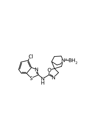 B[N+]12CCC(CC1)C1(CN=C(Nc3nc4c(Cl)cccc4s3)O1)C2